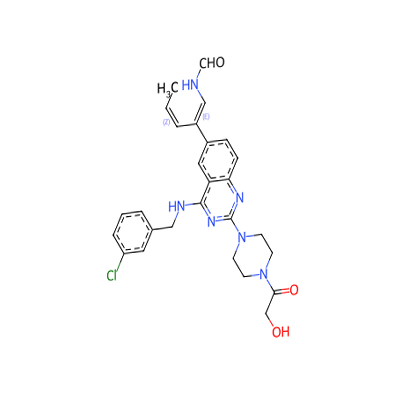 C/C=C\C(=C/NC=O)c1ccc2nc(N3CCN(C(=O)CO)CC3)nc(NCc3cccc(Cl)c3)c2c1